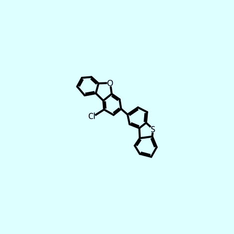 Clc1cc(-c2ccc3sc4ccccc4c3c2)cc2oc3ccccc3c12